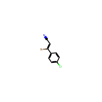 N#CC=C(Br)c1ccc(Cl)cc1